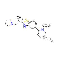 CC(CN1CCCC1)c1nc2cc(C3=CC[C@H](C)CN3C(=O)O)ccc2s1